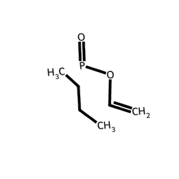 C=COP=O.CCCC